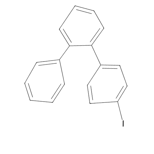 Ic1ccc(-c2ccccc2-c2ccccc2)cc1